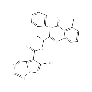 Cc1cccc2nc([C@H](C)NC(=O)c3c(N)nn4ncncc34)n(-c3ccccc3)c(=O)c12